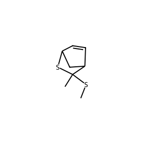 CSC1(C)SC2C=CC1C2